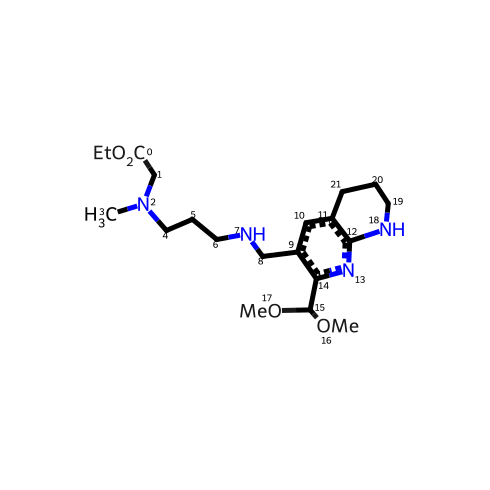 CCOC(=O)CN(C)CCCNCc1cc2c(nc1C(OC)OC)NCCC2